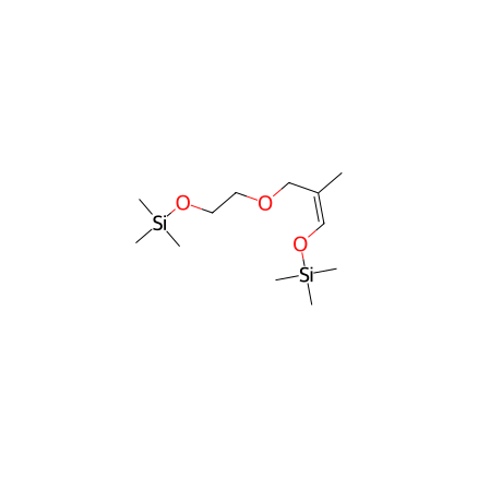 CC(=CO[Si](C)(C)C)COCCO[Si](C)(C)C